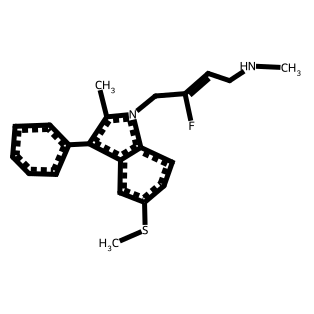 CNC/C=C(\F)Cn1c(C)c(-c2ccccc2)c2cc(SC)ccc21